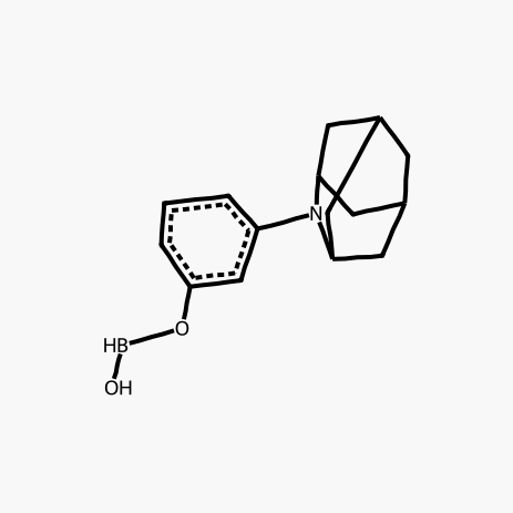 OBOc1cccc(N2C3CC4CC(C3)CC2C4)c1